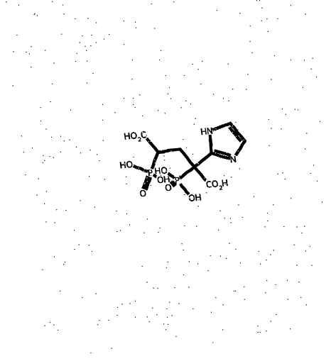 O=C(O)C(CC(C(=O)O)(c1ncc[nH]1)P(=O)(O)O)P(=O)(O)O